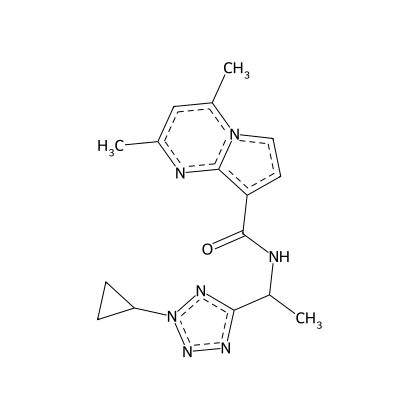 Cc1cc(C)n2ccc(C(=O)NC(C)c3nnn(C4CC4)n3)c2n1